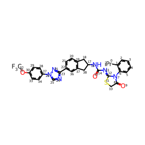 CC(C)c1ccccc1N1C(=O)CSC1=NC(=O)NC1Cc2ccc(-c3ncn(-c4ccc(OC(F)(F)F)cc4)n3)cc2C1